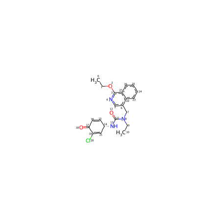 CCOc1ncc(CN(CC)C(=O)N[C@H]2C=CC(=O)C(Cl)=C2)c2ccccc12